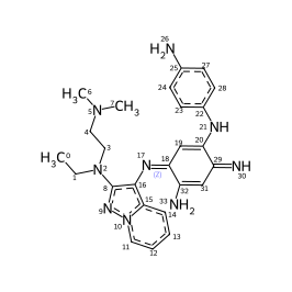 CCN(CCN(C)C)c1nn2ccccc2c1/N=C1/C=C(Nc2ccc(N)cc2)C(=N)C=C1N